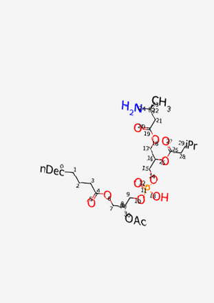 CCCCCCCCCCCCCC(=O)OC[C@H](COP(=O)(O)OCC(COC(=O)C[C@H](C)N)OC(=O)CC(C)C)OC(C)=O